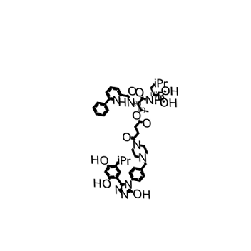 CC(C)C[C@H](NC(=O)[C@@H](NC(=O)c1cccc(-c2ccccc2)n1)[C@@H](C)OC(=O)CCC(=O)N1CCN(Cc2ccc(-n3c(O)nnc3-c3cc(C(C)C)c(O)cc3O)cc2)CC1)B(O)O